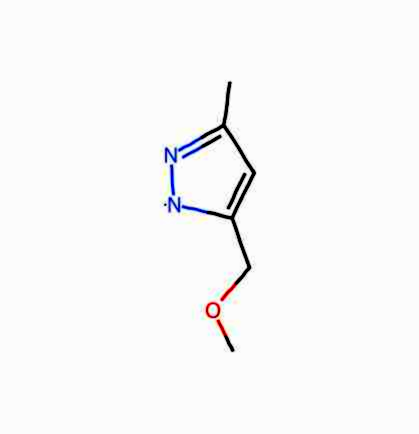 COCC1=CC(C)=N[N]1